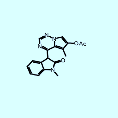 CC(=O)Oc1cn2ncnc(C3C(=O)N(C)c4ccccc43)c2c1C